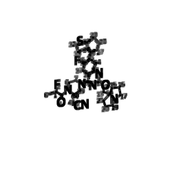 C=C(F)C(=O)N1CCN(c2nc(OCC34CCCN3CCC4)nc3cc(-c4cccc5sccc45)c(F)cc23)C[C@@H]1CC#N